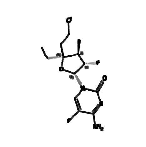 CC[C@@]1(CCCl)O[C@@H](n2cc(F)c(N)nc2=O)[C@@H](F)[C@@H]1C